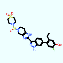 CCc1cc(O)c(F)cc1-c1ccc2c(-c3nc4c([nH]3)CCN([S+]([O-])N3CCS(=O)(=O)CC3)C4)n[nH]c2c1